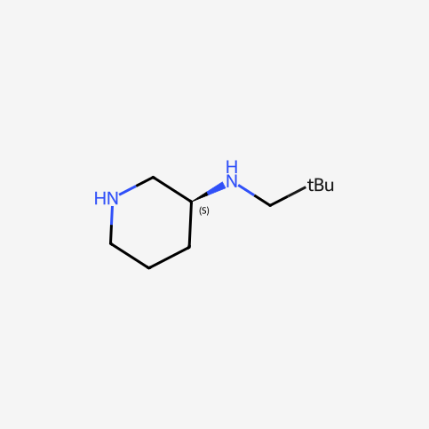 CC(C)(C)CN[C@H]1CCCNC1